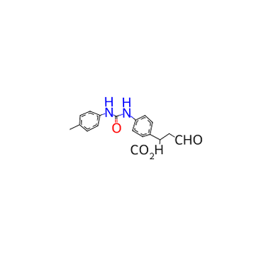 Cc1ccc(NC(=O)Nc2ccc(C(CC=O)C(=O)O)cc2)cc1